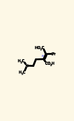 CC(C)/C(C(=O)O)=C(/CCN(C)C)C(=O)O